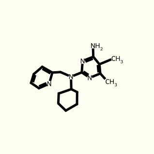 Cc1nc(N(Cc2ccccn2)C2CCCCC2)nc(N)c1C